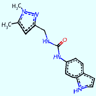 Cc1cc(CNC(=O)Nc2ccc3cc[nH]c3c2)nn1C